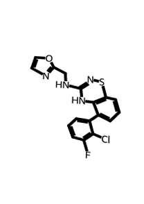 Fc1cccc(-c2cccc3c2NC(NCc2ncco2)=NS3)c1Cl